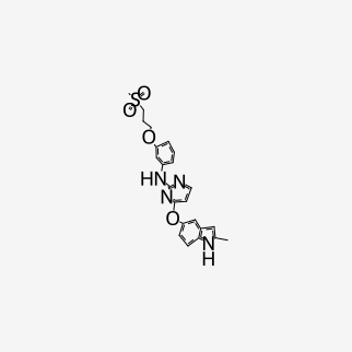 Cc1cc2cc(Oc3ccnc(Nc4cccc(OCCCS(C)(=O)=O)c4)n3)ccc2[nH]1